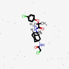 CC(C)(Oc1ccc(Cl)cc1)C(=O)N[C@H]1[C@@H]2CC3C[C@H]1C[C@](NC(=O)CCl)(C3)C2